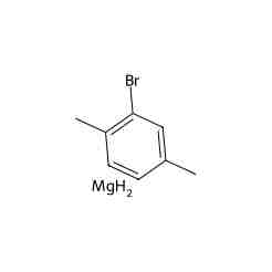 Cc1ccc(C)c(Br)c1.[MgH2]